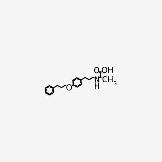 C[C@H](NCCCc1ccc(OCCCc2ccccc2)cc1)C(=O)O